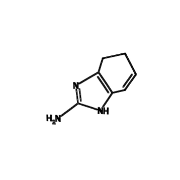 Nc1nc2c([nH]1)C=CCC2